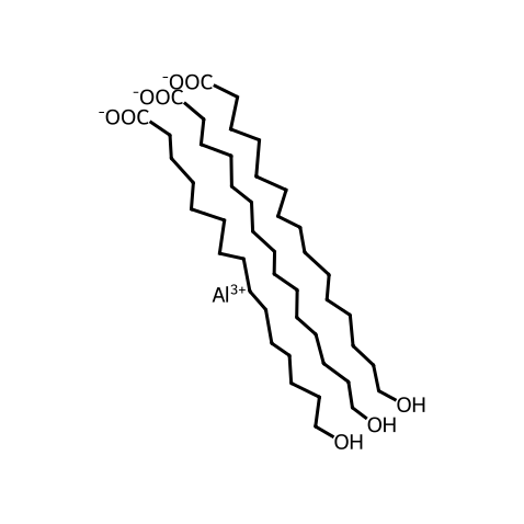 O=C([O-])CCCCCCCCCCCCCCO.O=C([O-])CCCCCCCCCCCCCCO.O=C([O-])CCCCCCCCCCCCCCO.[Al+3]